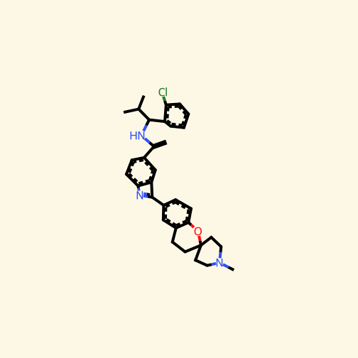 C=C(NC(c1ccccc1Cl)C(C)C)c1ccc2c(c1)C(c1ccc3c(c1)CCC1(CCN(C)CC1)O3)=N2